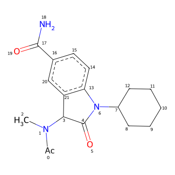 CC(=O)N(C)C1C(=O)N(C2CCCCC2)c2ccc(C(N)=O)cc21